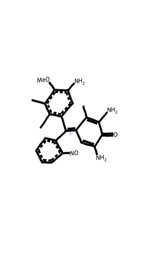 COc1c(N)cc(/C(=C2/C=C(N)C(=O)C(N)=C2C)c2ccccc2N=O)c(C)c1C